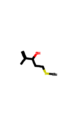 C=C(C)C(O)CCSC(C)(C)C